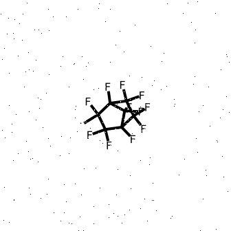 [CH2]C1(F)C(F)(F)C2(F)C(F)(F)C(F)(F)C1(F)C2(F)F